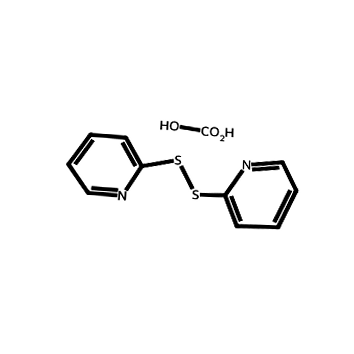 O=C(O)O.c1ccc(SSc2ccccn2)nc1